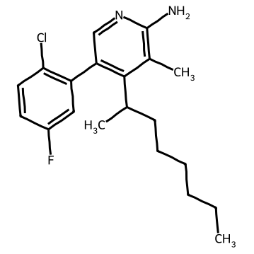 CCCCCCC(C)c1c(-c2cc(F)ccc2Cl)cnc(N)c1C